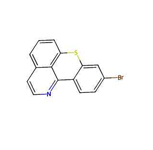 Brc1ccc2c(c1)Sc1cccc3ccnc-2c13